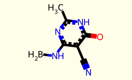 BNc1nc(C)[nH]c(=O)c1C#N